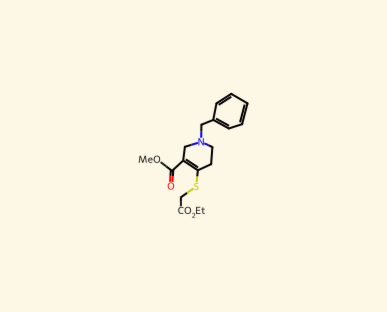 CCOC(=O)CSC1=C(C(=O)OC)CN(Cc2ccccc2)CC1